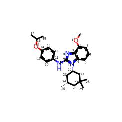 COc1cccc2c1nc(Nc1ccc(OC(C)C)cc1)n2[C@H]1C[C@@H](C)CC(C)(C)C1